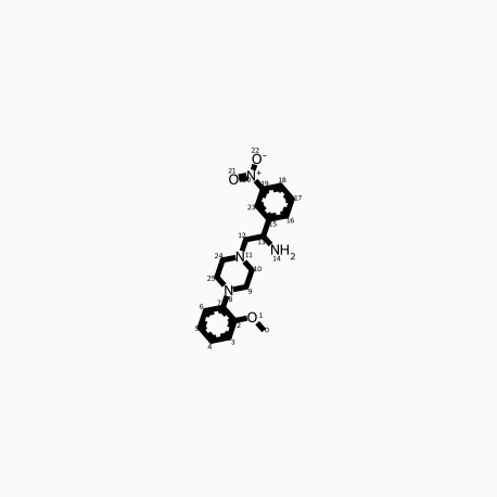 COc1ccccc1N1CCN(CC(N)c2cccc([N+](=O)[O-])c2)CC1